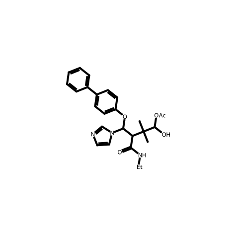 CCNC(=O)C(C(Oc1ccc(-c2ccccc2)cc1)n1ccnc1)C(C)(C)C(O)OC(C)=O